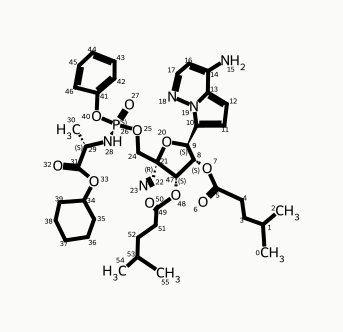 CC(C)CCC(=O)O[C@H]1[C@H](c2ccc3c(N)ccnn23)O[C@](C#N)(CO[P@@](=O)(N[C@@H](C)C(=O)OC2CCCCC2)Oc2ccccc2)[C@H]1OC(=O)CCC(C)C